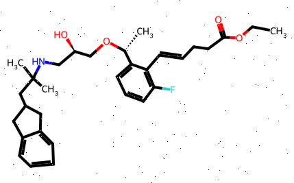 CCOC(=O)CC/C=C/c1c(F)cccc1[C@@H](C)OC[C@H](O)CNC(C)(C)CC1Cc2ccccc2C1